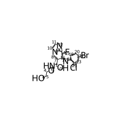 O=C(NOCCO)c1cn2ccnc2c(F)c1Nc1ccc(Br)cc1Cl